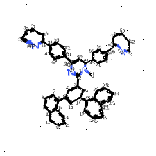 CN1C(C2=CC(c3cccc4ccccc34)=CC(c3cccc4ccccc34)C2)=NC(c2ccc(-c3ccccn3)cc2)=CC1c1ccc(C2=NCCC=C2)cc1